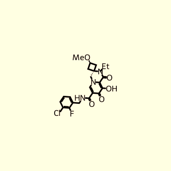 CCN1C(=O)c2c(O)c(=O)c(C(=O)NCc3cccc(Cl)c3F)cn2C[C@]12C[C@H](OC)C2